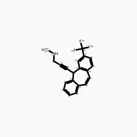 CNCC#CC1c2ccccc2C=Cc2ccc(C(F)(F)F)cc21